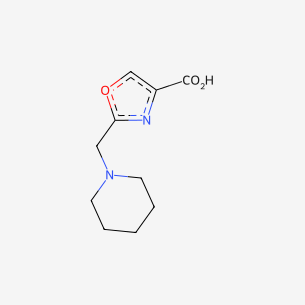 O=C(O)c1coc(CN2CCCCC2)n1